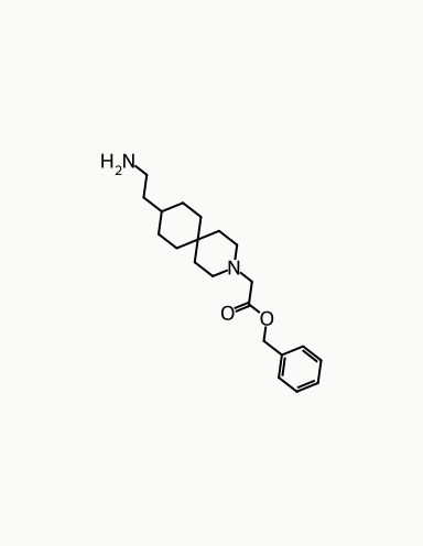 NCCC1CCC2(CC1)CCN(CC(=O)OCc1ccccc1)CC2